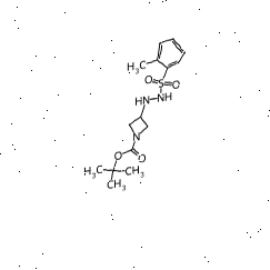 Cc1ccccc1S(=O)(=O)NNC1CN(C(=O)OC(C)(C)C)C1